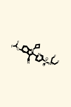 N#Cc1c(-c2ccc(S(=O)(=O)NC(CF)CF)cn2)n(C2CCC2)c2ccc(OC(F)F)cc12